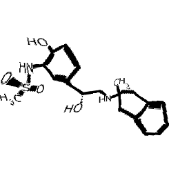 CC1(NC[C@H](O)c2ccc(O)c(NS(C)(=O)=O)c2)Cc2ccccc2C1